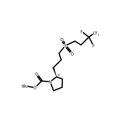 CC(C)(C)OC(=O)N1CCC[C@@H]1CCCS(=O)(=O)CCC(F)(F)C(F)(F)F